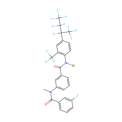 CN(C(=O)c1cccc(F)c1)c1cccc(C(=O)N(Br)c2ccc(C(F)(C(F)(F)F)C(F)(F)C(F)(F)F)cc2C(F)(F)F)c1